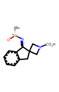 CC(C)(C)[S@@+]([O-])/N=C1\c2ccccc2CC12CN(C(=O)O)C2